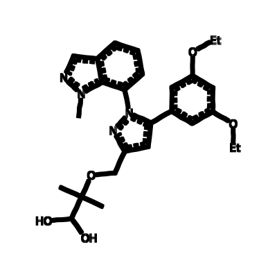 CCOc1cc(OCC)cc(-c2cc(COC(C)(C)C(O)O)nn2-c2cccc3cnn(C)c23)c1